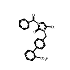 CCc1cn(C(=O)c2ccccc2)c(=O)n1Cc1ccc(-c2ccccc2C(=O)O)cc1